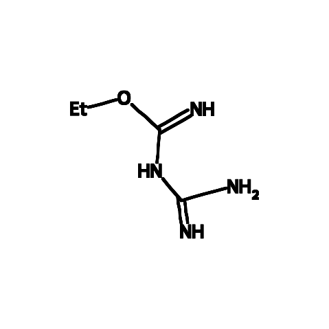 CCOC(=N)NC(=N)N